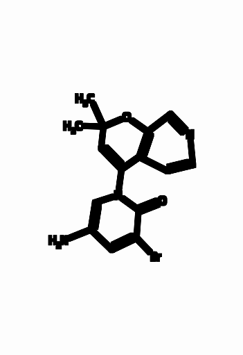 CC1(C)C=C(n2cc(N)cc(Br)c2=O)c2ccncc2O1